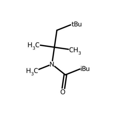 CCC(C)C(=O)N(C)C(C)(C)CC(C)(C)C